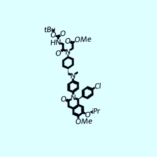 COC(=O)CN(C(=O)CNC(=O)OC(C)(C)C)[C@H]1CC[C@H](CN(C)c2ccc(N3C(=O)Cc4cc(OC)c(OC(C)C)cc4[C@@H]3c3ccc(Cl)cc3)cc2)CC1